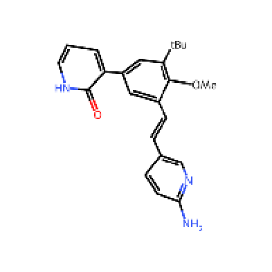 COc1c(C=Cc2ccc(N)nc2)cc(-c2ccc[nH]c2=O)cc1C(C)(C)C